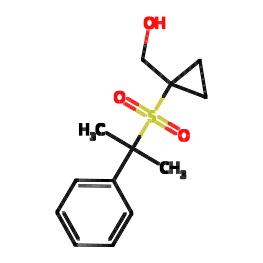 CC(C)(c1ccccc1)S(=O)(=O)C1(CO)CC1